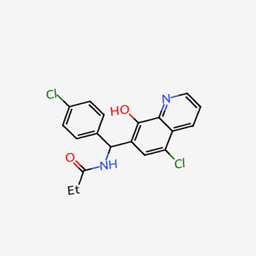 CCC(=O)NC(c1ccc(Cl)cc1)c1cc(Cl)c2cccnc2c1O